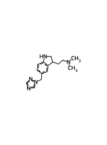 CN(C)CCC1CNc2ccc(Cn3cncn3)cc21